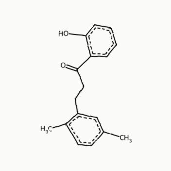 Cc1ccc(C)c(CCC(=O)c2ccccc2O)c1